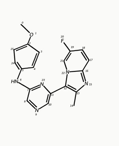 COc1ccc(Nc2cncc(-c3c(C)nc4ccc(F)cn34)n2)cc1